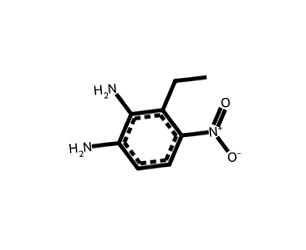 CCc1c([N+](=O)[O-])ccc(N)c1N